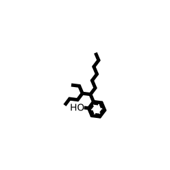 CCCCCCC(c1ccccc1O)C(CC)CCC